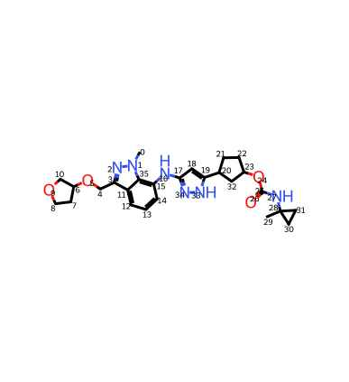 Cn1nc(COC2CCOC2)c2cccc(Nc3cc(C4CCC(OC(=O)NC5(C)CC5)C4)[nH]n3)c21